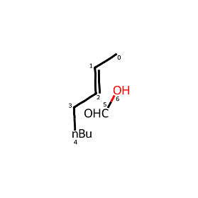 CC=CCCCCC.O=CO